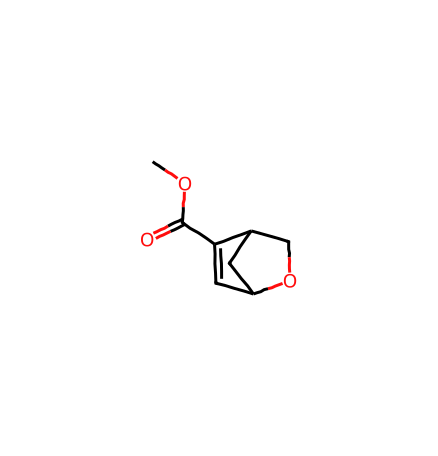 COC(=O)C1=CC2CC1CO2